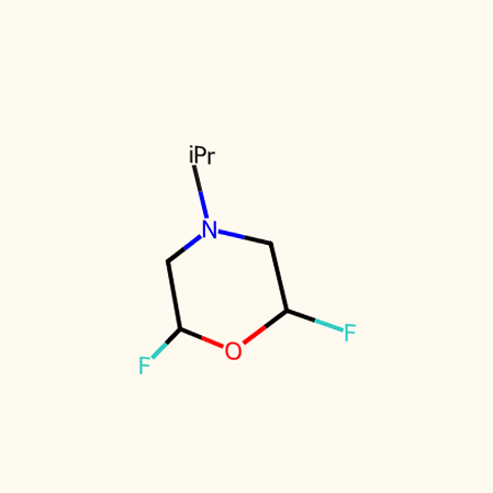 CC(C)N1CC(F)OC(F)C1